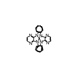 C1=CCCC(N2c3nccnc3N(c3ccccc3)C23N(c2ccccc2)c2nccnc2N3c2ccccc2)=C1